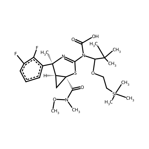 CON(C)C(=O)[C@]12C[C@H]1[C@@](C)(c1cccc(F)c1F)N=C(N(C(=O)O)C(OCC[Si](C)(C)C)C(C)(C)C)S2